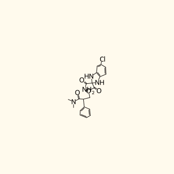 CN(C)C(=O)C(COC(=O)C1(C(N)=O)Nc2ccc(Cl)cc2N1)c1ccccc1